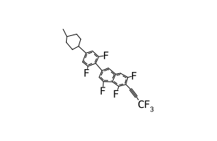 CC1CCC(c2cc(F)c(-c3cc(F)c4c(F)c(C#CC(F)(F)F)c(F)cc4c3)c(F)c2)CC1